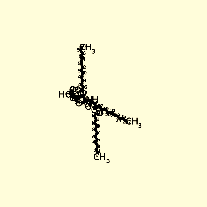 CCCCCCCCCCCCCC(=O)OC(CCCCCCCCCCC)CC(=O)N[C@H]1COC[C@@H](OS(=O)(=O)O)[C@@H]1OC(=O)CCCCCCCCCCCCC